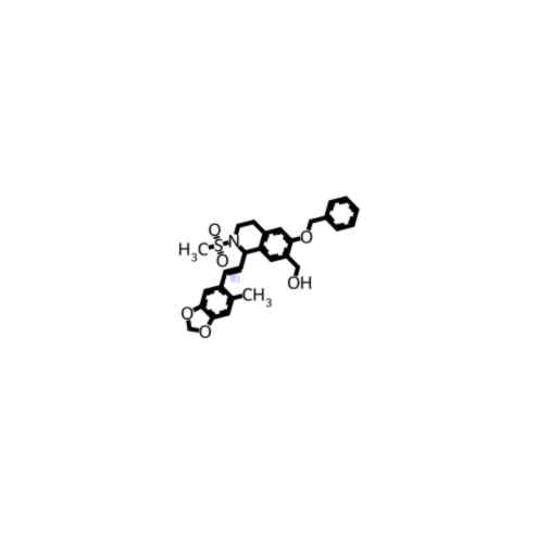 Cc1cc2c(cc1/C=C/C1c3cc(CO)c(OCc4ccccc4)cc3CCN1S(C)(=O)=O)OCO2